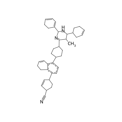 CC1C(C2CCC(c3ccc(C4C=CC(C#N)CC4)c4c3C=CCC4)CC2)=NC(C2=CC=CCC2)NC1C1CC=CCC1